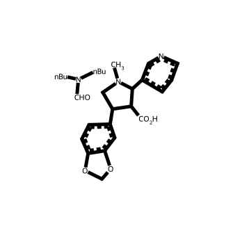 CCCCN(C=O)CCCC.CN1CC(c2ccc3c(c2)OCO3)C(C(=O)O)C1c1cccnc1